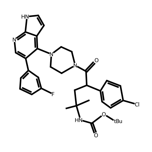 CC(C)(CC(C(=O)N1CCN(c2c(-c3cccc(F)c3)cnc3[nH]ccc23)CC1)c1ccc(Cl)cc1)NC(=O)OC(C)(C)C